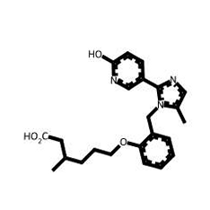 Cc1cnc(-c2ccc(O)nc2)n1Cc1ccccc1OCCCC(C)CC(=O)O